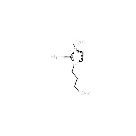 CCCCCCCCCCCCC[n+]1ccn(CCCCC)c1CCCCCCCCC